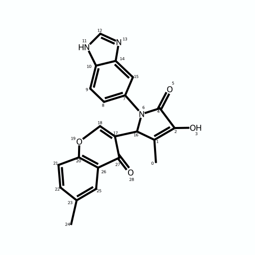 CC1=C(O)C(=O)N(c2ccc3[nH]cnc3c2)C1c1coc2ccc(C)cc2c1=O